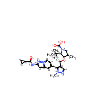 CC1CN(C(=O)O)C(C(C)(C)C)C1OCc1cnn(C)c1-c1ccn2nc(NC(=O)C3CC3)cc2c1